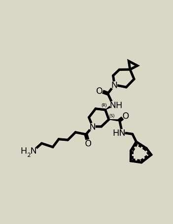 NCCCCCC(=O)N1CC[C@@H](NC(=O)N2CCC3(CC2)CC3)[C@@H](C(=O)NCc2ccccc2)C1